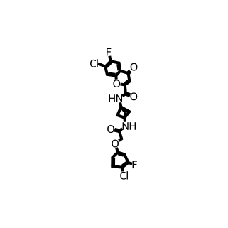 O=C(COc1ccc(Cl)c(F)c1)NC12CC(NC(=O)c3cc(=O)c4cc(F)c(Cl)cc4o3)(C1)C2